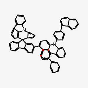 c1ccc(-c2ccccc2-c2ccccc2N(c2ccc(-c3cccc4ccccc34)cc2)c2ccc(-c3ccc4c(c3)C3(c5ccccc5-4)c4ccccc4-n4c5ccccc5c5cccc3c54)c3ccccc23)cc1